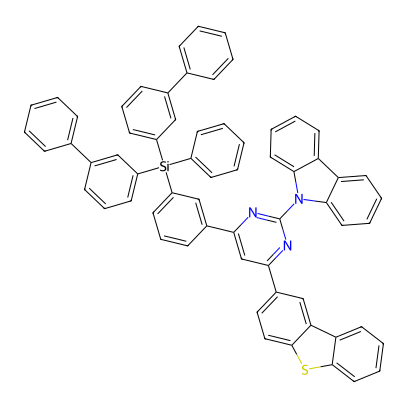 c1ccc(-c2cccc([Si](c3ccccc3)(c3cccc(-c4ccccc4)c3)c3cccc(-c4cc(-c5ccc6sc7ccccc7c6c5)nc(-n5c6ccccc6c6ccccc65)n4)c3)c2)cc1